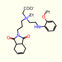 CC[N+](CCCN1C(=O)C2CC=CCC2C1=O)(CCNc1ccccc1OC(C)C)CC(=O)[O-]